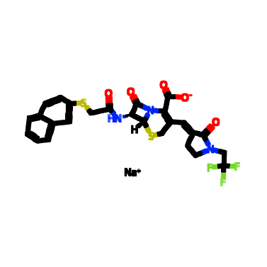 O=C(CSc1ccc2ccccc2c1)N[C@@H]1C(=O)N2C(C(=O)[O-])=C(/C=C3\CCN(CC(F)(F)F)C3=O)CS[C@H]12.[Na+]